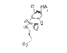 Nc1cc(Cl)c(S(=O)(=O)NCCCS(=O)(=O)O)cc1Cl